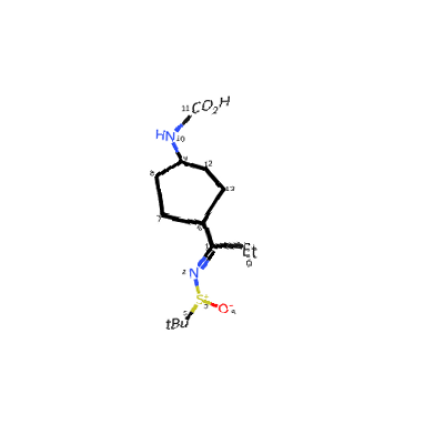 CC/C(=N\[S+]([O-])C(C)(C)C)C1CCC(NC(=O)O)CC1